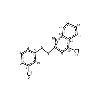 Clc1cccc(CCc2cc(Cl)c3ccccc3n2)c1